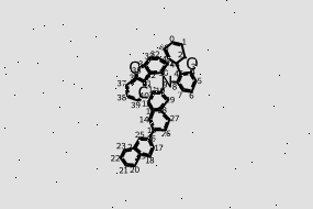 C1=CC2Oc3cccc(N(c4ccc5cc(-c6ccc7ccccc7c6)ccc5c4)c4cccc5oc6ccccc6c45)c3C2C=C1